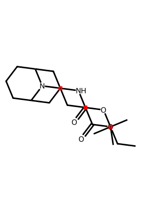 CCOC(=O)CCCN1C2CCCC1CC(NC(=O)OC(C)(C)C)C2